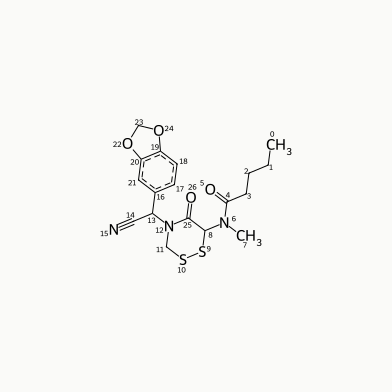 CCCCC(=O)N(C)C1SSCN(C(C#N)c2ccc3c(c2)OCO3)C1=O